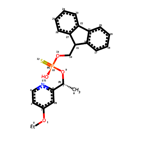 CCOc1ccnc([C@@H](C)O[P@](O)(=S)OCC2c3ccccc3-c3ccccc32)c1